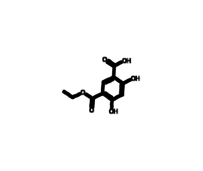 CCOC(=O)c1cc(C(=O)O)c(O)cc1O